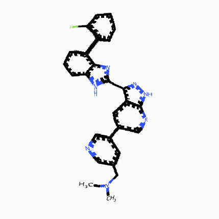 CN(C)Cc1cncc(-c2cnc3[nH]nc(-c4nc5c(-c6ccccc6F)cccc5[nH]4)c3c2)c1